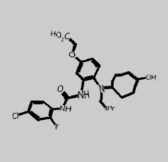 CC(C)CN(c1ccc(OCC(=O)O)cc1NC(=O)Nc1ccc(Cl)cc1F)C1CCC(O)CC1